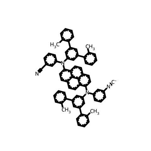 [C-]#[N+]c1cccc(N(c2cc(-c3ccccc3C)cc(-c3ccccc3C)c2)c2ccc3ccc4c(N(c5cccc(C#N)c5)c5cc(-c6ccccc6C)cc(-c6ccccc6C)c5)ccc5ccc2c3c54)c1